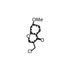 COc1ccc2c(=O)c(CCl)coc2c1